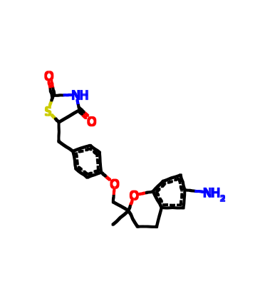 CC1(COc2ccc(CC3SC(=O)NC3=O)cc2)CCc2cc(N)ccc2O1